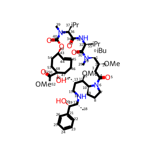 CC[C@H](C)[C@@H]([C@@H](CC(=O)N1CCC[C@H]1[C@H](OC)[C@@H](C)CN[C@H](C)[C@@H](O)c1ccccc1)OC)N(C)C(=O)[C@@H](NC(=O)[C@H](C(C)C)N(C)C(=O)O[C@H]1/C=C/CC[C@@](O)(C(=O)OC)CC1)C(C)C